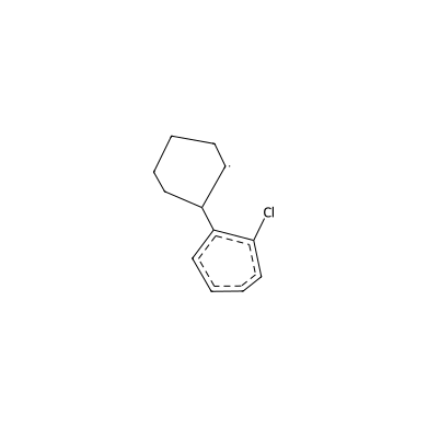 Clc1ccccc1C1[CH]CCCC1